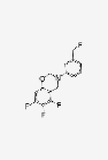 FCc1cccc(N2COc3cc(F)c(F)c(F)c3C2)c1